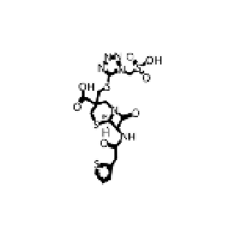 O=C(Cc1cccs1)NC1C(=O)N2CC(CSc3nnnn3CS(=O)(=O)O)(C(=O)O)CS[C@H]12